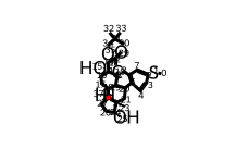 CSc1ccc2c(c1)C[C@]13CCC4(C[C@]1(O)CC[C@@H]1C3C2C[C@]2(C)[C@@H](O)CC[C@@H]12)OCC(C)(C)CO4